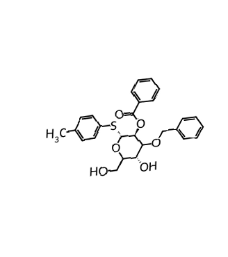 Cc1ccc(S[C@H]2OC(CO)[C@@H](O)C(OCc3ccccc3)[C@@H]2OC(=O)c2ccccc2)cc1